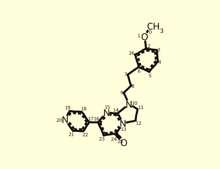 COc1cccc(CCCN2CCn3c2nc(-c2ccncc2)cc3=O)c1